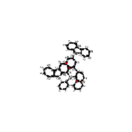 c1ccc(-c2ccccc2N(c2ccccc2-c2cccc(-n3c4ccccc4c4ccccc43)c2)c2cccc3c2sc2ccccc23)cc1